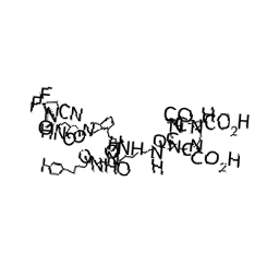 N#C[C@@H]1CC(F)(F)CN1C(=O)[C@@H]1C[C@@H](CC(=O)N2Cc3cccc(CCC(=O)NC(CCCCNC(=O)CN4CCN(CC(=O)O)CCN(CC(=O)O)CCN(CC(=O)O)CC4)C(=O)NCCNC(=O)CCCc4ccc(I)cc4)c3C2)C(=O)N1